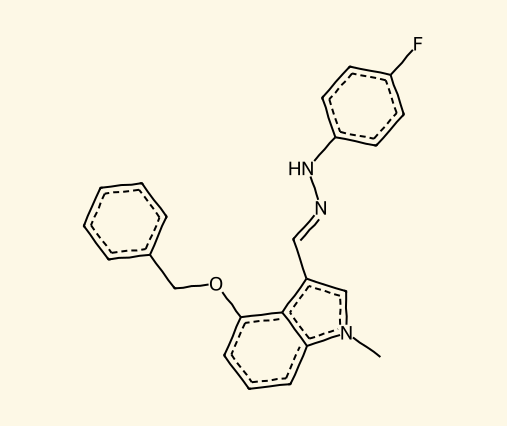 Cn1cc(C=NNc2ccc(F)cc2)c2c(OCc3ccccc3)cccc21